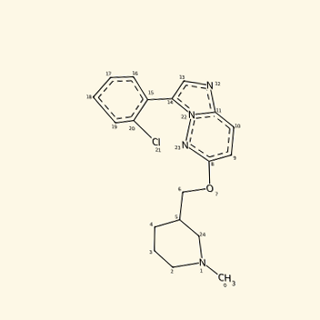 CN1CCCC(COc2ccc3ncc(-c4ccccc4Cl)n3n2)C1